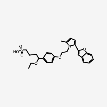 CCOC(CCCS(=O)(=O)O)c1ccc(OCCn2c(C)ccc2-c2cc3ccccc3o2)cc1